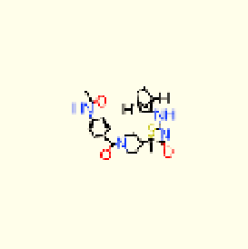 CC(=O)Nc1ccc(C(=O)N2CCC(C3(C)SC(NC4C[C@H]5CC[C@H]4C5)=NC3=O)CC2)cc1